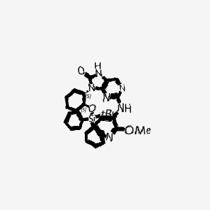 COc1ncccc1Nc1ncc2[nH]c(=O)n([C@H]3CCCC[C@@H]3O[Si](c3ccccc3)(c3ccccc3)C(C)(C)C)c2n1